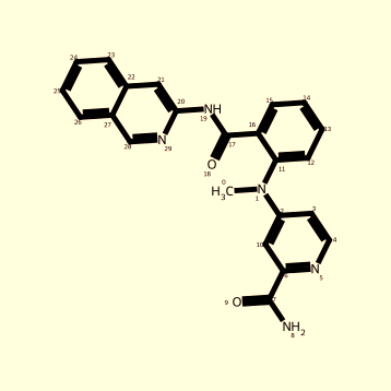 CN(c1ccnc(C(N)=O)c1)c1ccccc1C(=O)Nc1cc2ccccc2cn1